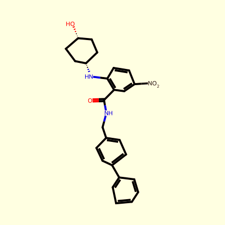 O=C(NCc1ccc(-c2ccccc2)cc1)c1cc([N+](=O)[O-])ccc1N[C@H]1CC[C@@H](O)CC1